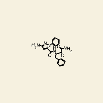 NC(=O)C(=O)C(Cc1ccccc1)NC(=O)c1cc(N)nn1-c1ccccc1